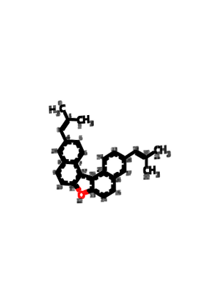 CC(C)=Cc1ccc2c(ccc3oc4ccc5cc(C=C(C)C)ccc5c4c32)c1